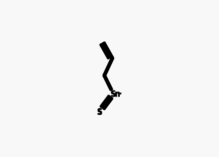 C=C[CH2][Sn]=[S]